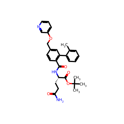 Cc1ccccc1-c1cc(COc2cccnc2)ccc1C(=O)N[C@@H](CCC(N)=O)C(=O)OC(C)(C)C